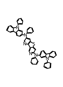 c1ccc(N(c2cnc3c(c2)sc2cc(N(c4ccccc4)c4ccc5c6ccccc6n(-c6ccccc6)c5c4)ncc23)c2ccc3c4ccccc4n(-c4ccccc4)c3c2)cc1